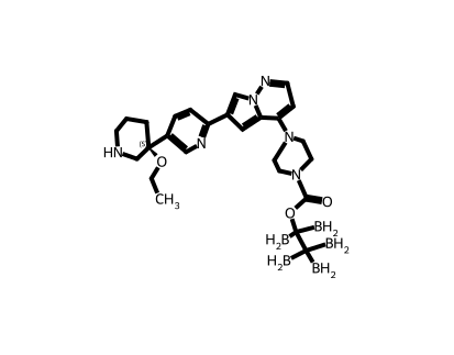 BC(B)(B)C(B)(B)OC(=O)N1CCN(c2ccnn3cc(-c4ccc([C@@]5(OCC)CCCNC5)cn4)cc23)CC1